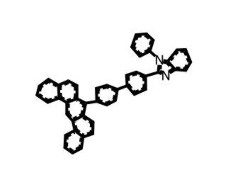 c1ccc(-n2c(-c3ccc(-c4ccc(-c5c6ccc7ccccc7c6cc6c5ccc5ccccc56)cc4)cc3)nc3ccccc32)cc1